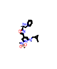 CC1CC1CN(C)c1cc(-c2coc([C@](C)(N)Cc3ccccc3)n2)cc(N(C)S(C)(=O)=O)n1